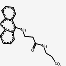 O=C(O)CCNC(=O)CCNc1c2ccccc2nc2ccccc12